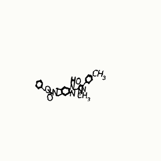 Cc1ccc(-c2nn(C)c(-c3nc4cc5c(cc4[nH]3)CN(C(=O)OCc3ccccc3)C5)c2O)cc1